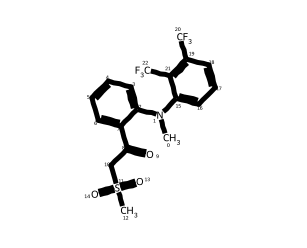 CN(c1ccccc1C(=O)CS(C)(=O)=O)c1cccc(C(F)(F)F)c1C(F)(F)F